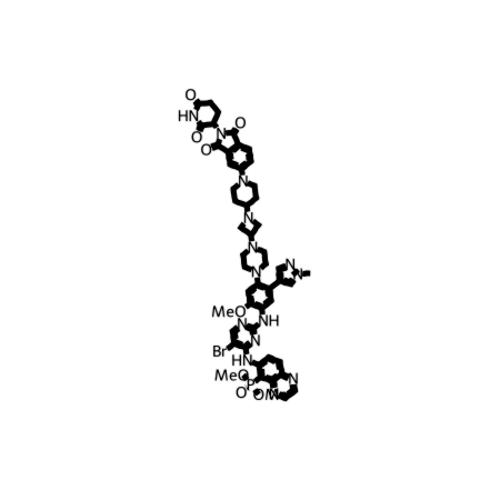 COc1cc(N2CCN(C3CN(C4CCN(c5ccc6c(c5)C(=O)N(C5CCC(=O)NC5=O)C6=O)CC4)C3)CC2)c(-c2cnn(C)c2)cc1Nc1ncc(Br)c(Nc2ccc3nccnc3c2P(=O)(OC)OC)n1